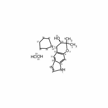 CC1(C)Oc2cc3[nH]cnc3cc2[C@H](N2CCCCC2)[C@H]1O.Cl.Cl